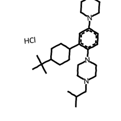 CC(C)CN1CCN(c2ccc(N3CCOCC3)cc2C2CCC(C(C)(C)C)CC2)CC1.Cl